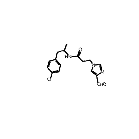 CC(Cc1ccc(Cl)cc1)NC(=O)CCn1cnc(C=O)c1